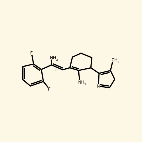 CC1=C(C2CCCC(/C=C(\N)c3c(F)cccc3F)=C2N)N=CC1